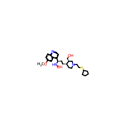 COc1ccc2nccc([C@@H](CC[C@@H]3CCN(CCSC4CCCC4)C[C@@H]3CO)NO)c2c1